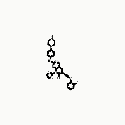 O=c1c(C#COc2ccccc2F)cc2cnc(Nc3ccc(N4CCNCC4)cc3)nc2n1-c1nccs1